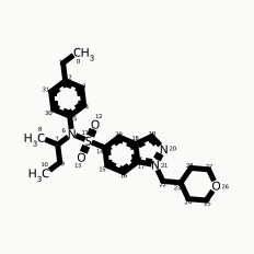 CCc1ccc(N(C(C)CC)S(=O)(=O)c2ccc3c(cnn3CC3CCOCC3)c2)cc1